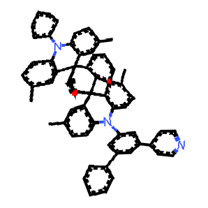 Cc1ccc2c(c1)C1(c3cc(C)ccc3N2c2ccccc2)c2ccccc2C2(c3cc(C)ccc3N(c3cc(-c4ccccc4)cc(-c4ccncc4)c3)c3ccc(C)cc32)c2ccccc21